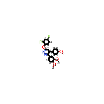 COc1ccc(-c2cc(Oc3ccc(F)cc3F)nnc2-c2ccc(OC)c(OC)c2)cc1